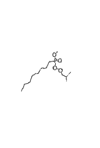 CCCCCCCCP(=O)(OC)OOCC(C)C